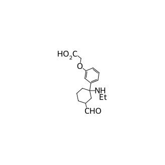 CCNC1(c2cccc(OCC(=O)O)c2)CCCC(C=O)C1